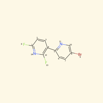 Fc1ccc(-c2ccc(Br)cn2)c(F)n1